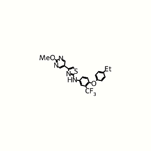 CCc1ccc(Oc2ccc(Nc3nc(-c4cnc(OC)nc4)cs3)cc2C(F)(F)F)cc1